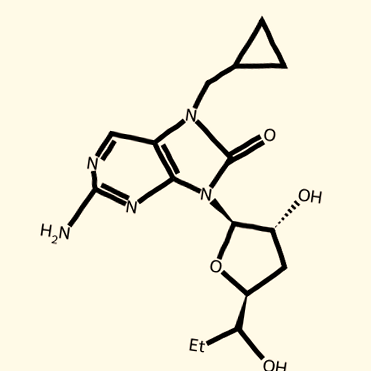 CCC(O)[C@@H]1C[C@@H](O)[C@H](n2c(=O)n(CC3CC3)c3cnc(N)nc32)O1